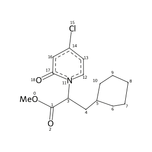 COC(=O)C(CC1CCCCC1)n1ccc(Cl)cc1=O